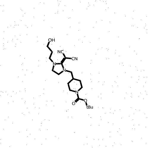 CC(C)(C)OC(=O)N1CCC(CN2CCN(CCCO)C2=C(C#N)C#N)CC1